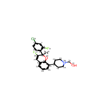 [2H][C@@]1(c2ccc(Cl)cc2F)Oc2c(cccc2C2CCN(CO)CC2)C=C1F